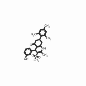 CC1=C(S(C)(=O)=O)C(c2cccc(O)c2)C2=C(CC(c3c(C)cc(C)cc3C)CC2=O)N1